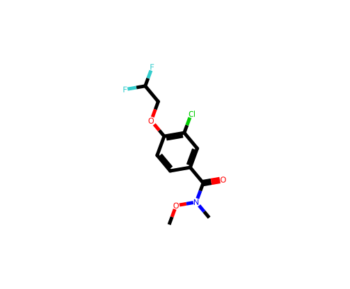 CON(C)C(=O)c1ccc(OCC(F)F)c(Cl)c1